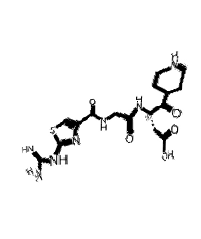 N=C(N)Nc1nc(C(=O)NCC(=O)N[C@@H](CC(=O)O)C(=O)C2CCNCC2)cs1